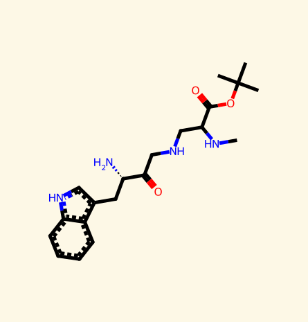 CNC(CNCC(=O)[C@@H](N)Cc1c[nH]c2ccccc12)C(=O)OC(C)(C)C